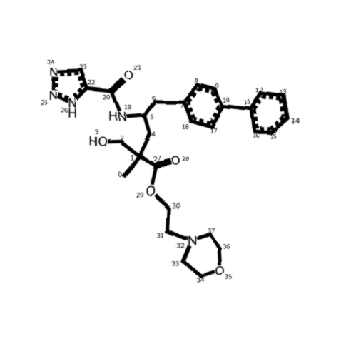 CC(CO)(CC(Cc1ccc(-c2ccccc2)cc1)NC(=O)c1cnn[nH]1)C(=O)OCCN1CCOCC1